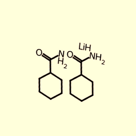 NC(=O)C1CCCCC1.NC(=O)C1CCCCC1.[LiH]